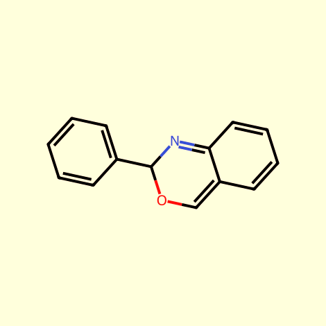 C1=c2ccccc2=NC(c2ccccc2)O1